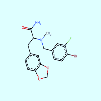 CN(Cc1ccc(Br)c(F)c1)C(Cc1ccc2c(c1)OCO2)C(N)=O